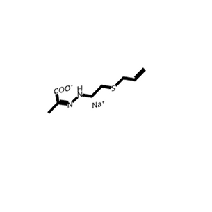 C=CCSCCN/N=C(/C)C(=O)[O-].[Na+]